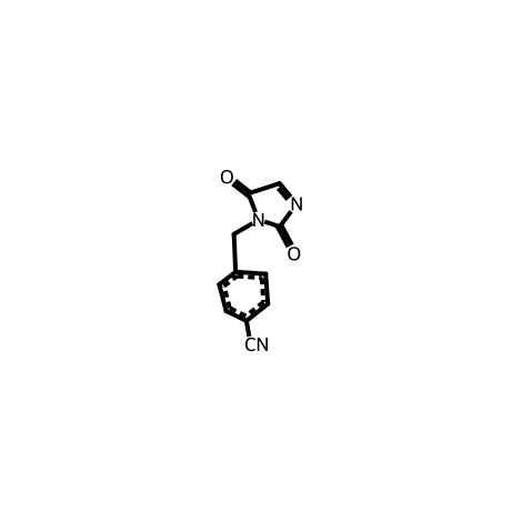 N#Cc1ccc(CN2C(=O)C=NC2=O)cc1